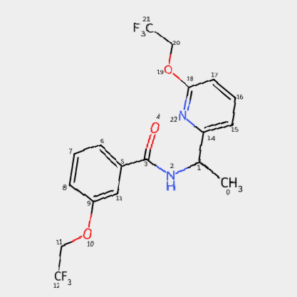 CC(NC(=O)c1cccc(OCC(F)(F)F)c1)c1cccc(OCC(F)(F)F)n1